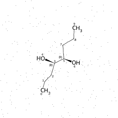 CCC[C@@H](O)[C@H](O)CCC